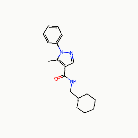 Cc1c(C(=O)NCC2CCCCC2)cnn1-c1ccccc1